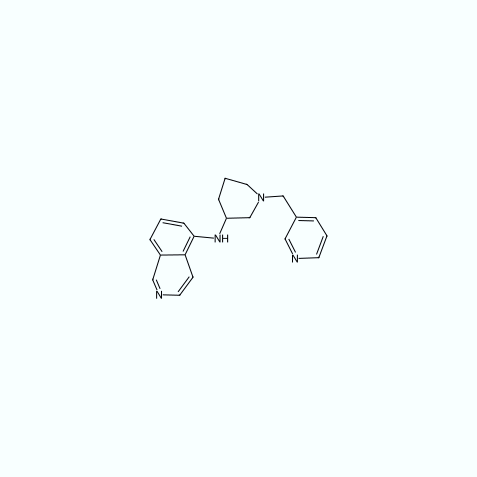 c1cncc(CN2CCCC(Nc3cccc4cnccc34)C2)c1